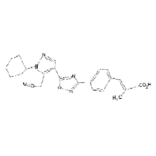 COCc1c(-c2nc(-c3ccc(C=C(C)C(=O)O)cc3)no2)cnn1C1CCCCC1